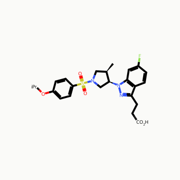 CC(C)Oc1ccc(S(=O)(=O)N2C[C@@H](C)[C@@H](n3nc(CCC(=O)O)c4ccc(F)cc43)C2)cc1